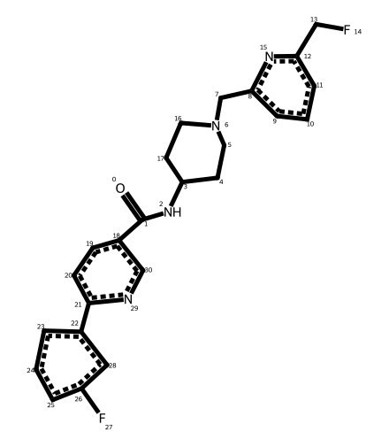 O=C(NC1CCN(Cc2cccc(CF)n2)CC1)c1ccc(-c2cccc(F)c2)nc1